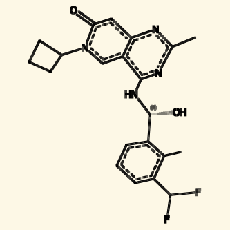 Cc1nc(N[C@H](O)c2cccc(C(F)F)c2C)c2cn(C3CCC3)c(=O)cc2n1